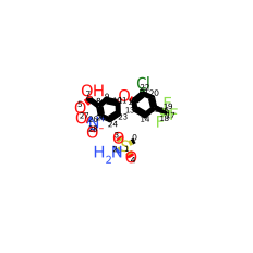 CS(N)(=O)=O.O=C(O)c1cc(Oc2ccc(C(F)(F)F)cc2Cl)ccc1[N+](=O)[O-]